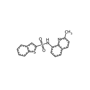 Cc1ccc2cccc(NS(=O)(=O)c3cc4ccccc4s3)c2n1